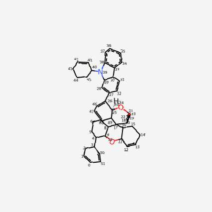 C1=CCC(C2CCCC3C2OC2C=CCCC2C32C3CCCC=C3O[C@@H]3C(C4=CC5C(C=C4)c4ccccc4N5C4C=CCCC4)=CC=CC32)C=C1